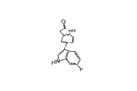 O=C1Cc2cc(-c3c[nH]c4cc(F)ccc34)ccc2N1